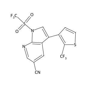 N#Cc1cnc2c(c1)c(-c1ccsc1C(F)(F)F)cn2S(=O)(=O)C(F)(F)F